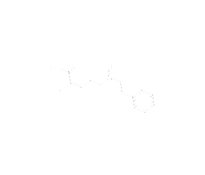 CC(=CCCN(C)CCc1ccccc1)C(=O)O